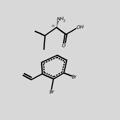 C=Cc1cccc(Br)c1Br.CC(C)[C@H](N)C(=O)O